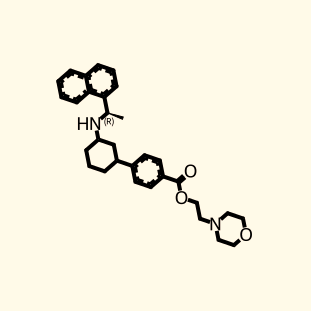 C[C@@H](NC1CCCC(c2ccc(C(=O)OCCN3CCOCC3)cc2)C1)c1cccc2ccccc12